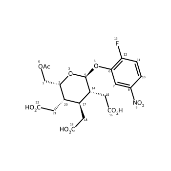 CC(=O)OC[C@@H]1O[C@@H](Oc2cc([N+](=O)[O-])ccc2F)[C@H](CC(=O)O)[C@@H](CC(=O)O)[C@@H]1CC(=O)O